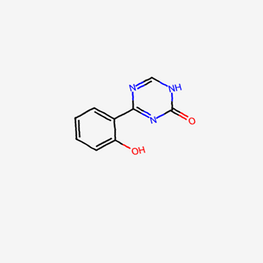 O=c1nc(-c2ccccc2O)nc[nH]1